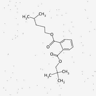 CC(C)CCCOC(=O)c1ccccc1C(=O)OCC(C)(C)C